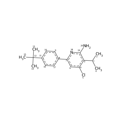 CC(C)c1c(Cl)cc(-c2ccc(C(C)(C)C)cc2)nc1N